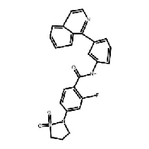 O=C(Nc1cccc(-c2nccc3ccccc23)c1)c1ccc(N2CCCS2(=O)=O)cc1F